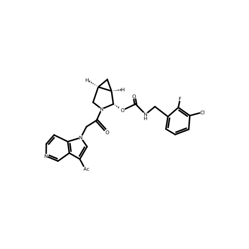 CC(=O)c1cn(CC(=O)N2C[C@H]3C[C@H]3[C@@H]2OC(=O)NCc2cccc(Cl)c2F)c2ccncc12